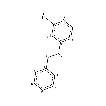 Clc1nccc(SCc2ccccc2)n1